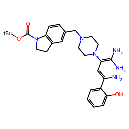 CC(C)(C)OC(=O)N1CCc2cc(CN3CCN(C(/C=C(\N)c4ccccc4O)=C(N)N)CC3)ccc21